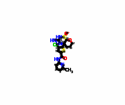 Cc1cccc(NC(=O)c2cc(Cl)c(C34CCCOC3[S+]([O-])NC(=N)N4)s2)n1